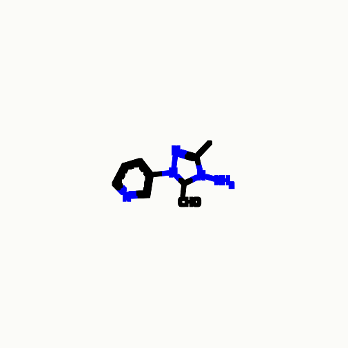 CC1=NN(c2cccnc2)C(C=O)N1N